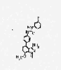 COc1ccc(-c2ccc(NC(=O)Nc3cccc(F)c3)cc2)c2c(N)n[nH]c12